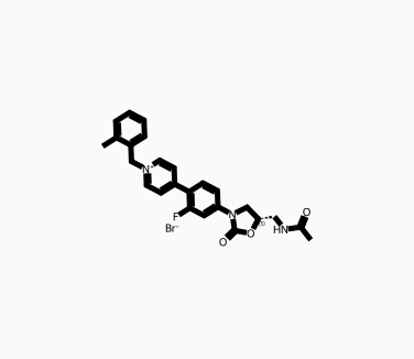 CC(=O)NC[C@H]1CN(c2ccc(-c3cc[n+](Cc4ccccc4C)cc3)c(F)c2)C(=O)O1.[Br-]